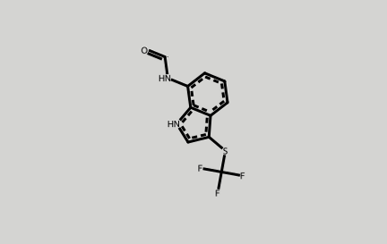 O=[C]Nc1cccc2c(SC(F)(F)F)c[nH]c12